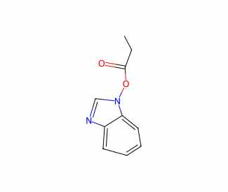 CCC(=O)On1cnc2ccccc21